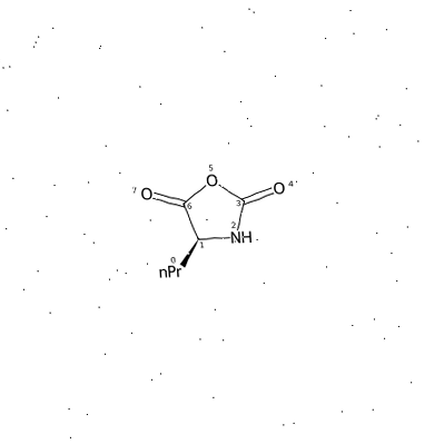 CCC[C@@H]1NC(=O)OC1=O